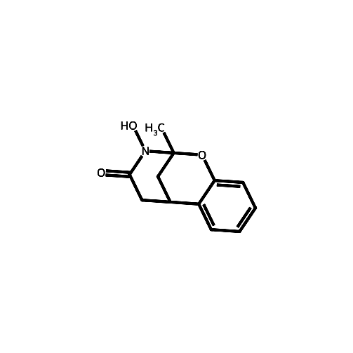 CC12CC(CC(=O)N1O)c1ccccc1O2